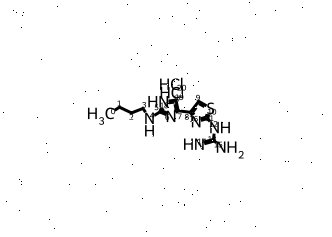 CCCCNc1nc(-c2csc(NC(=N)N)n2)c[nH]1.Cl.Cl